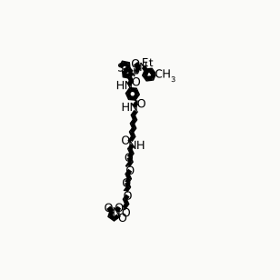 CCN(C(=O)Cn1c(C(=O)N[C@H]2CC[C@H](C(=O)NCCCCCCCC(=O)NCCOCCOCCOCCOCCC(=O)ON3C(=O)CCC3=O)CC2)cc2sccc21)c1cccc(C)c1